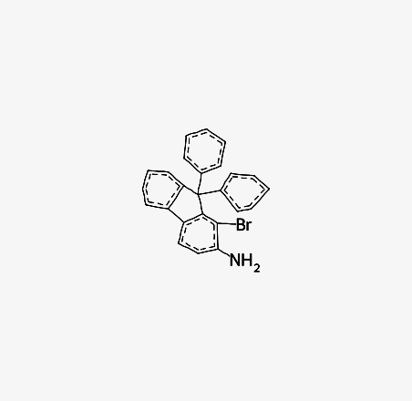 Nc1ccc2c(c1Br)C(c1ccccc1)(c1ccccc1)c1ccccc1-2